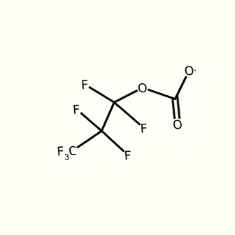 [O]C(=O)OC(F)(F)C(F)(F)C(F)(F)F